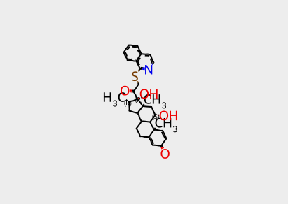 C[C@@H]1CC2C3CCC4=CC(=O)C=CC4(C)C3[C@@H](O)CC2(C)[C@@]1(O)C(=O)CSc1nccc2ccccc12